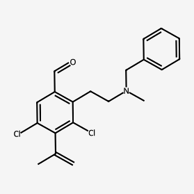 C=C(C)c1c(Cl)cc(C=O)c(CCN(C)Cc2ccccc2)c1Cl